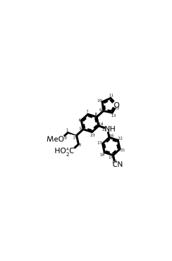 COC[C@H](CC(=O)O)c1ccc(-c2ccoc2)c(Nc2ccc(C#N)cc2)c1